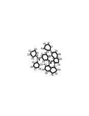 c1ccc(-c2cc(N(c3ccccc3)c3ccccc3)cc(N3c4c(ccc5ccccc45)-c4cccc5cccc3c45)c2)cc1